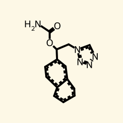 NC(=O)OC(Cn1cnnn1)c1ccc2ccccc2c1